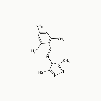 Cc1cc(C)c(C=Nn2c(C)nnc2S)c(C)c1